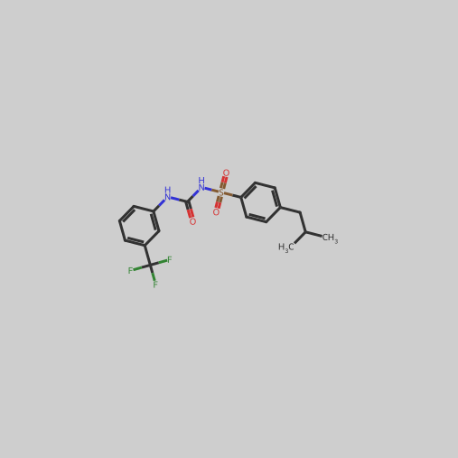 CC(C)Cc1ccc(S(=O)(=O)NC(=O)Nc2cccc(C(F)(F)F)c2)cc1